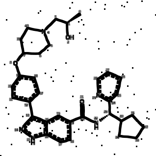 C[C@@H](O)CN1CCC(Oc2ccc(-c3n[nH]c4ccc(C(=O)N[C@H](c5ccccn5)C5CCCC5)cc34)cc2)CC1